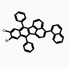 Clc1cc2c(-c3ccccc3)c3c(c(-c4ccccc4)c2cc1Br)-c1ccc(-c2cccc4ccccc24)c2cccc-3c12